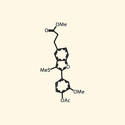 COC(=O)CCc1ccc2oc(-c3ccc(OC(C)=O)c(OC)c3)c(SC)c2c1